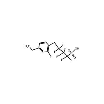 CCc1ccc(CC(F)(F)C(F)(F)C(F)(F)S(=O)(=O)O)c(F)c1